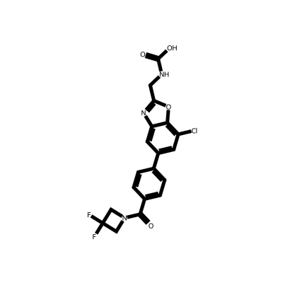 O=C(O)NCc1nc2cc(-c3ccc(C(=O)N4CC(F)(F)C4)cc3)cc(Cl)c2o1